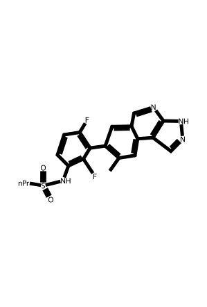 CCCS(=O)(=O)Nc1ccc(F)c(-c2cc3cnc4[nH]ncc4c3cc2C)c1F